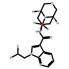 O=C(N[C@H]1C[C@H]2COC[C@@H](C1)N2C(F)(F)F)c1cn(CC(F)F)c2ncccc12